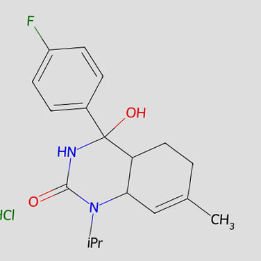 CC1=CC2C(CC1)C(O)(c1ccc(F)cc1)NC(=O)N2C(C)C.Cl